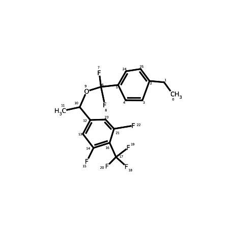 CCc1ccc(C(F)(F)OC(C)c2cc(F)c(C(F)(F)F)c(F)c2)cc1